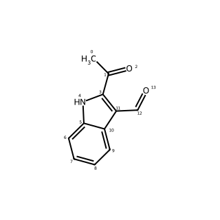 CC(=O)c1[nH]c2ccccc2c1C=O